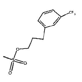 CS(=O)(=O)OCCCc1cccc(C(F)(F)F)c1